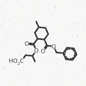 CC1CCC(C(=O)OCc2ccccc2)C(C(=O)OC(C)CC(=O)O)C1